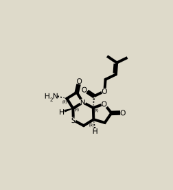 CC(C)=CCOC(=O)[C@]12OC(=O)C[C@H]1CS[C@@H]1[C@H](N)C(=O)N12